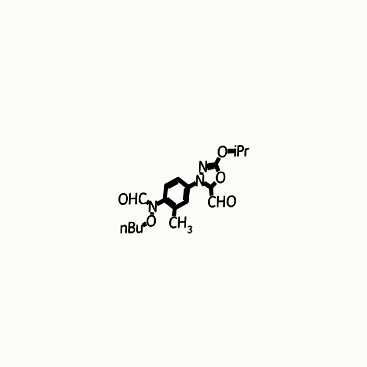 CCCCON(C=O)c1ccc(N2N=C(OC(C)C)OC2C=O)cc1C